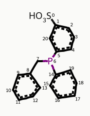 O=S(=O)(O)c1cccc(P(Cc2ccccc2)c2ccccc2)c1